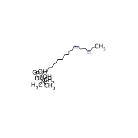 CC/C=C\CC/C=C\CCCCCCCCCCCCC(O)(C[N+](C)(C)C)P(=O)(O)O